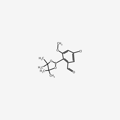 COc1cc(Cl)cc(C=O)c1B1OC(C)(C)C(C)(C)O1